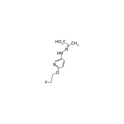 C/C(=N/Nc1ccc(OCCF)nc1)C(=O)O